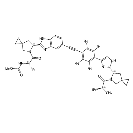 [2H]c1c([2H])c(-c2c[nH]c([C@@H]3CC4(CC4)CN3C(=O)[C@@H](C)C(C)C)n2)c([2H])c([2H])c1C#Cc1ccc2[nH]c([C@@H]3CC4(CC4)CN3C(=O)[C@@H](NC(=O)OC)C(C)C)nc2c1